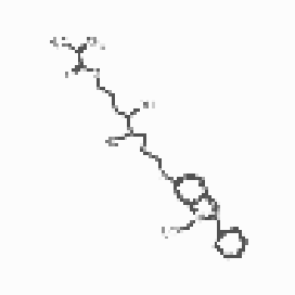 C=C(C)C(=O)OCCCC(O)C(O)CCCOc1ccc2cc(-c3ccccc3)n(CC)c2c1